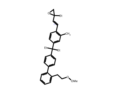 CCC1(/C=C/c2ccc(C(CC)(CC)c3ccc(-c4ccccc4CCOOC)cc3)cc2C)CO1